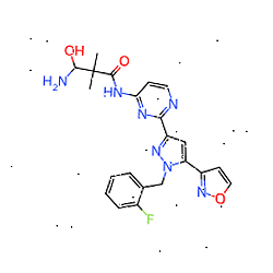 CC(C)(C(=O)Nc1ccnc(-c2cc(-c3ccon3)n(Cc3ccccc3F)n2)n1)C(N)O